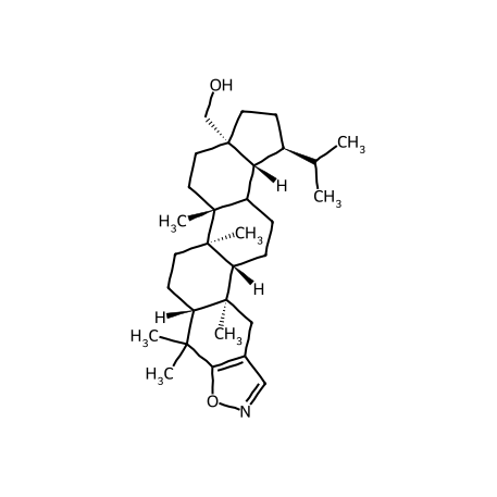 CC(C)[C@@H]1CC[C@]2(CO)CC[C@]3(C)C(CC[C@@H]4[C@@]5(C)Cc6cnoc6C(C)(C)[C@@H]5CC[C@]43C)[C@@H]12